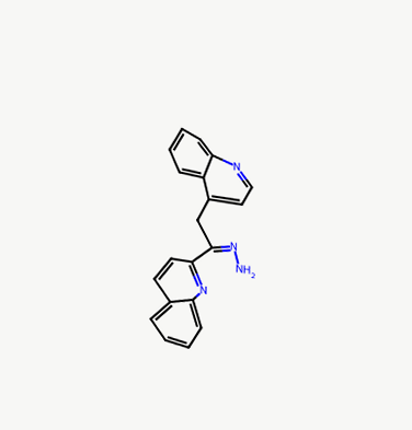 NN=C(Cc1ccnc2ccccc12)c1ccc2ccccc2n1